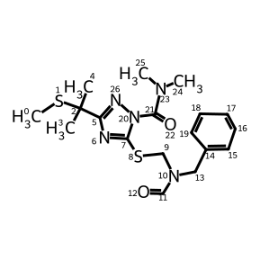 CSC(C)(C)c1nc(SCN(C=O)Cc2ccccc2)n(C(=O)N(C)C)n1